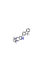 C/C=C1\C(=C/c2ccnc(-c3ccc4c(c3)C(C)(C)c3ccccc3-4)c2)C2(C)CCC1(C)CC2